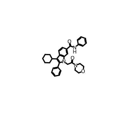 O=C(Nc1ccccc1)c1ccc2c(C3CCCCC3)c(-c3ccccc3)n(CC(=O)N3CCOCC3)c2c1